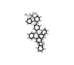 CC1(C)c2ccccc2-c2c(-c3ccc(N(c4ccccc4-c4ccc5oc6ccccc6c5c4)c4cccc5ccccc45)cc3)cccc21